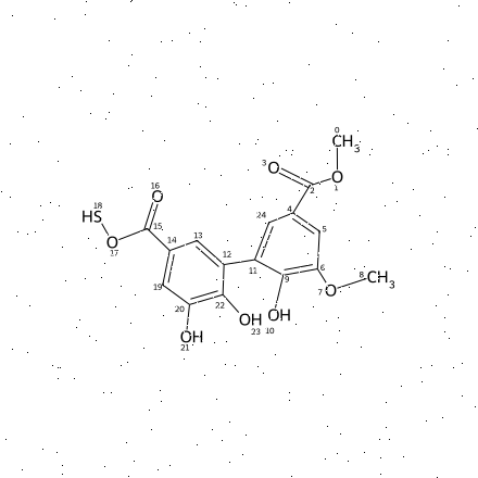 COC(=O)c1cc(OC)c(O)c(-c2cc(C(=O)OS)cc(O)c2O)c1